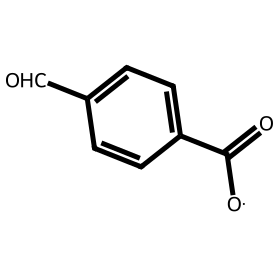 [O]C(=O)c1ccc(C=O)cc1